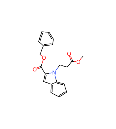 COC(=O)CCn1c(C(=O)OCc2ccccc2)cc2ccccc21